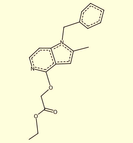 CCOC(=O)COc1nccc2c1cc(C)n2Cc1ccccc1